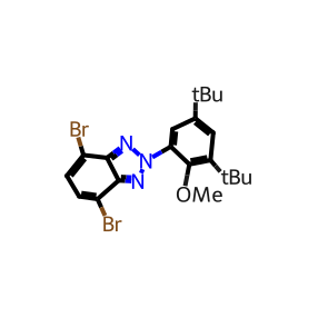 COc1c(-n2nc3c(Br)ccc(Br)c3n2)cc(C(C)(C)C)cc1C(C)(C)C